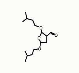 CC(C)CCOC1CC(C=O)C(OCCC(C)C)O1